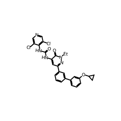 CCn1nc(-c2cccc(-c3cccc(OC4CC4)c3)c2)cc(NC(=O)Nc2c(Cl)cncc2Cl)c1=O